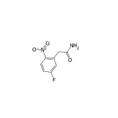 NC(=O)Cc1cc(F)ccc1[N+](=O)[O-]